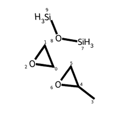 C1CO1.CC1CO1.[SiH3]O[SiH3]